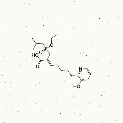 CCOP(=O)(CC(=CCCCSc1ncccc1O)C(=O)O)CC(C)C